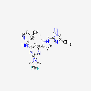 Cc1c[nH]c(CN2CCC(c3cc(Nc4cc(C(F)(F)F)ccn4)nc(N4CC(F)(F)C4)n3)C2)n1